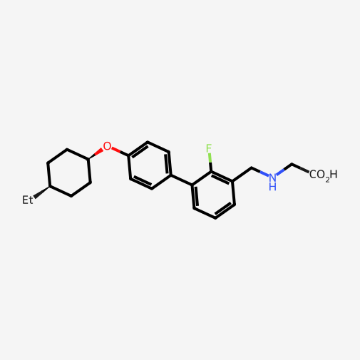 CC[C@H]1CC[C@@H](Oc2ccc(-c3cccc(CNCC(=O)O)c3F)cc2)CC1